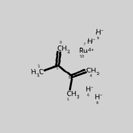 C=C(C)C(=C)C.[H-].[H-].[H-].[H-].[Ru+4]